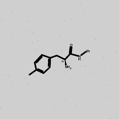 Cc1ccc(C[C@H](N)C(=O)NC(C)C)cc1